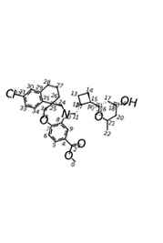 COC(=O)c1ccc2c(c1)N(C[C@@H]1CC[C@H]1[C@@H]1C[C@H](O)CC(C)O1)C[C@@]1(CCCc3cc(Cl)ccc31)CO2